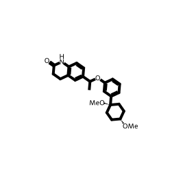 CO[C@H]1CC[C@](OC)(c2cccc(OC(C)c3ccc4c(c3)CCC(=O)N4)c2)CC1